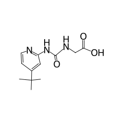 CC(C)(C)c1ccnc(NC(=O)NCC(=O)O)c1